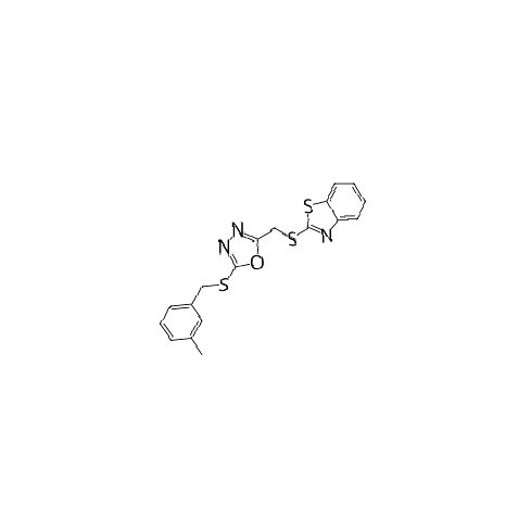 Cc1cccc(CSc2nnc(CSc3nc4ccccc4s3)o2)c1